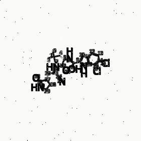 CC(C)(C)C[C@H](NC(O)c1cc2ccc(Cl)c(Cl)c2[nH]1)C(=O)N[C@H](C#N)C[C@@H]1CCNC1=O